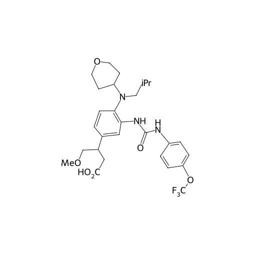 COCC(CC(=O)O)c1ccc(N(CC(C)C)C2CCOCC2)c(NC(=O)Nc2ccc(OC(F)(F)F)cc2)c1